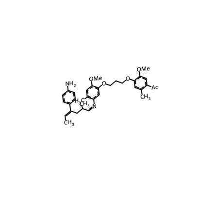 C/C=C(\CC(C)/C=N\c1cc(OCCCOc2cc(C)c(C(C)=O)cc2OC)c(OC)cc1C)c1ccc(N)cc1